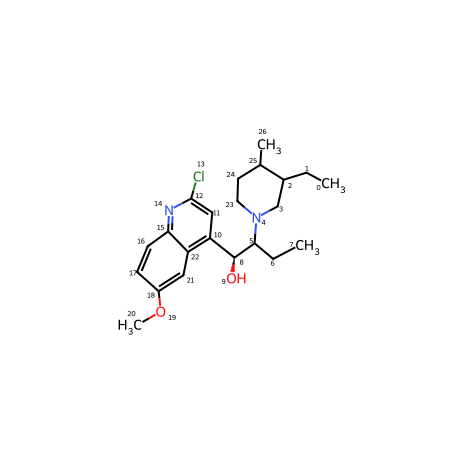 CCC1CN(C(CC)[C@@H](O)c2cc(Cl)nc3ccc(OC)cc23)CCC1C